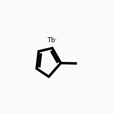 CC1=CC=CC1.[Tb]